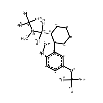 [2H]O[C@@]1(c2cccc(OC([2H])([2H])[2H])c2)CCCC[C@H]1C([2H])([2H])N(C)C([2H])([2H])[2H]